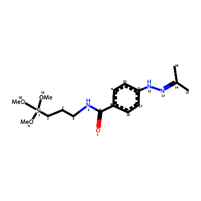 CO[Si](CCCNC(=O)c1ccc(NN=C(C)C)cc1)(OC)OC